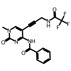 Cn1cc(C#CCNC(=O)C(F)(F)F)c(NC(=O)c2ccccc2)nc1=O